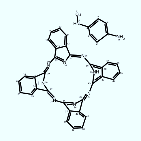 Nc1ccc([NH][Cu])cc1.c1ccc2c(c1)-c1nc-2nc2[nH]c(nc3nc(nc4[nH]c(n1)c1ccccc41)-c1ccccc1-3)c1ccccc21